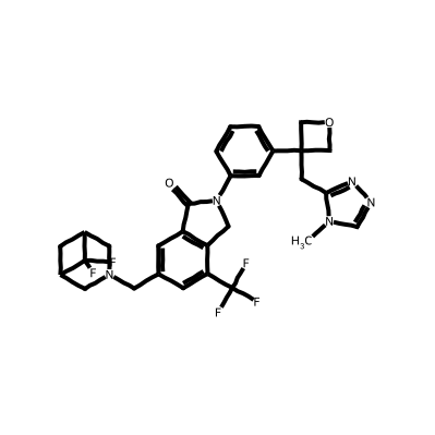 Cn1cnnc1CC1(c2cccc(N3Cc4c(cc(CN5CC6CC(C5)C6(F)F)cc4C(F)(F)F)C3=O)c2)COC1